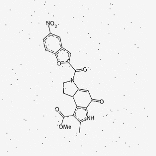 COC(=O)c1c(C)[nH]c2c1C1CCN(C(=O)c3cc4cc([N+](=O)[O-])ccc4o3)C1=CC2=O